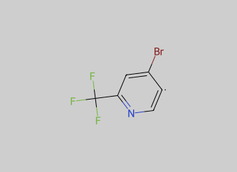 FC(F)(F)c1cc(Br)[c]cn1